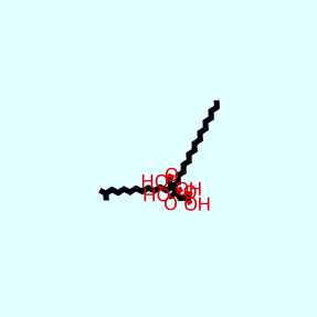 CCCCCCCCCCCCCCCCC(CCCCCCCCCCC(C)C)(C(=O)O)C(O)(CC(=O)O)C(=O)O